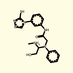 C[SiH2]C(CO)N(CC(=O)Nc1cccc(-n2cnnc2S)c1)c1ccccc1